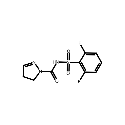 O=C(NS(=O)(=O)c1c(F)cccc1F)N1CCC=N1